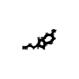 CCSCn1cc2ncc(Br)cc2n1